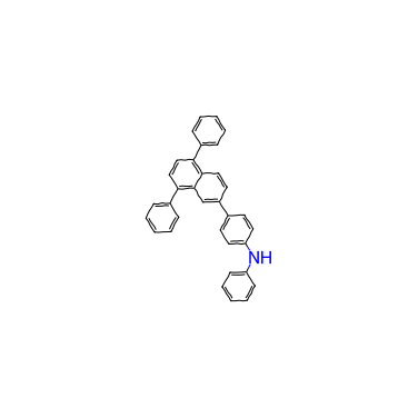 c1ccc(Nc2ccc(-c3ccc4c(-c5ccccc5)ccc(-c5ccccc5)c4c3)cc2)cc1